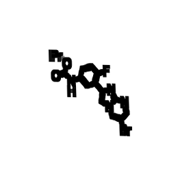 CC(C)OC(=O)Nc1ccc(F)c(-c2cn3cc(Br)cnc3n2)c1